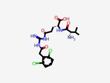 CC(C)[C@H](N)C(=O)N[C@H](CCC(=O)NC(=N)NC(=O)Cc1c(Cl)cccc1Cl)C(=O)O